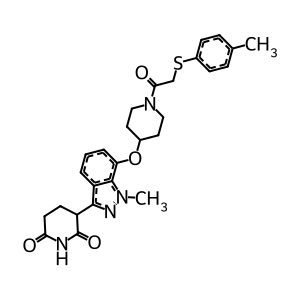 Cc1ccc(SCC(=O)N2CCC(Oc3cccc4c(C5CCC(=O)NC5=O)nn(C)c34)CC2)cc1